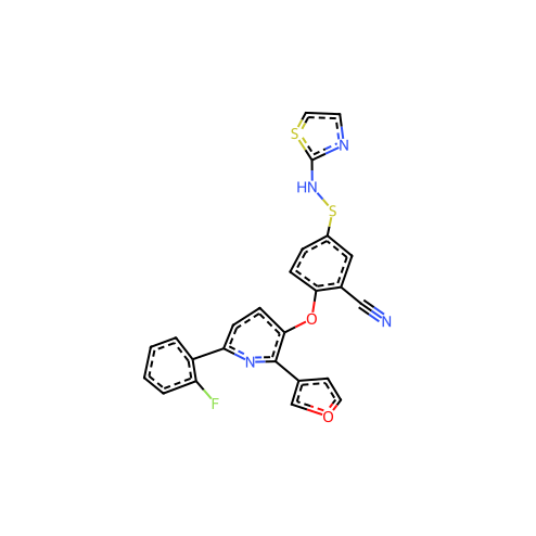 N#Cc1cc(SNc2nccs2)ccc1Oc1ccc(-c2ccccc2F)nc1-c1ccoc1